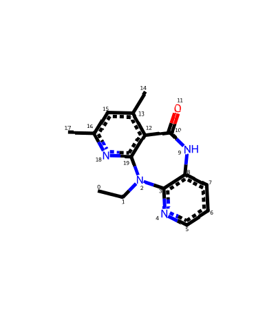 CCN1c2ncccc2NC(=O)c2c(C)cc(C)nc21